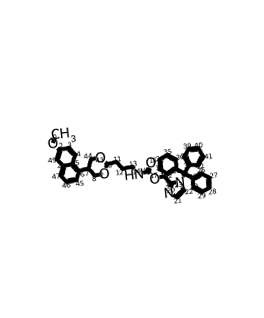 COc1ccc2c(C3COC(CCCNC(=O)OCc4nccn4C(c4ccccc4)(c4ccccc4)c4ccccc4)OC3)cccc2c1